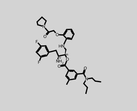 CCCN(CCC)C(=O)c1cc(C)cc(C(=O)O[C@H](CNc2ccccc2OCC(=O)N2CCCC2)[C@@H](N)Cc2cc(F)cc(F)c2)c1